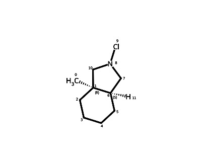 C[C@@]12CCCC[C@@H]1CN(Cl)C2